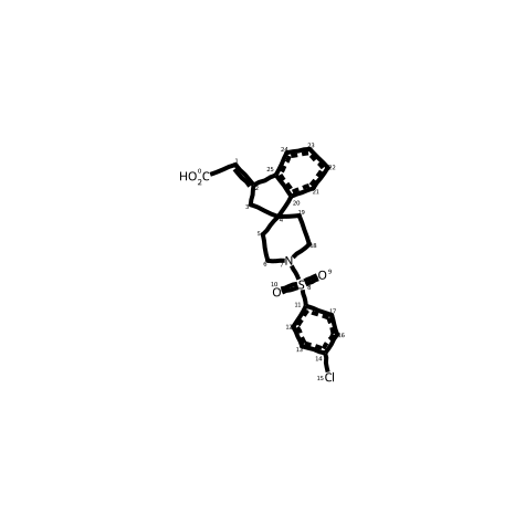 O=C(O)C=C1CC2(CCN(S(=O)(=O)c3ccc(Cl)cc3)CC2)c2ccccc21